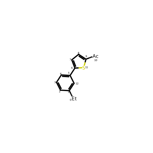 CCc1cccc(-c2ccc(C(C)=O)s2)c1